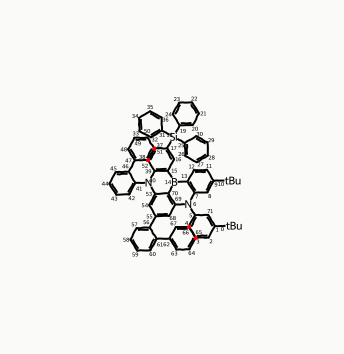 CC(C)(C)c1cccc(N2c3cc(C(C)(C)C)ccc3B3c4cc([Si](c5ccccc5)(c5ccccc5)c5ccccc5)ccc4N(c4ccccc4-c4ccccc4)c4cc(-c5ccccc5-c5ccccc5)cc2c43)c1